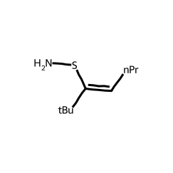 CCC/C=C(\SN)C(C)(C)C